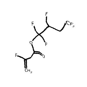 C=C(F)C(=O)OC(F)(F)C(F)CC(F)(F)F